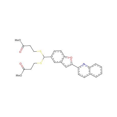 COC(=O)CCSC(SCCC(=O)OC)c1ccc2oc(-c3ccc4ccccc4n3)cc2c1